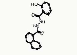 O=C(NNC(=O)c1cccc2ccccc12)c1ccccc1O